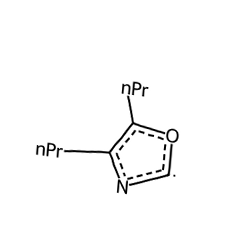 CCCc1n[c]oc1CCC